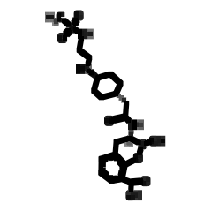 CS(=O)(=O)NCCN[C@H]1CC[C@H](CC(=O)N[C@H]2Cc3cccc(C(=O)O)c3OB2O)CC1